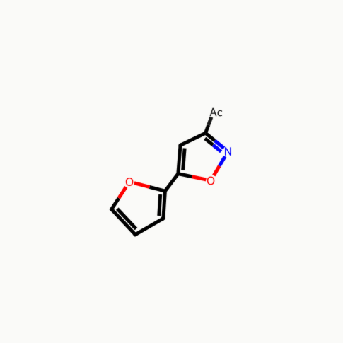 CC(=O)c1cc(-c2ccco2)on1